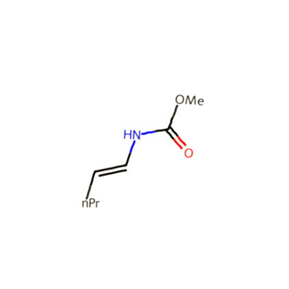 CCCC=CNC(=O)OC